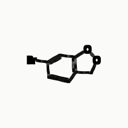 Brc1ccc2c(c1)OOC2